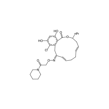 CCCC1C/C=C/CC/C=C/C(=N/OCC(=O)N2CCCCC2)Cc2c(Cl)c(O)cc(O)c2C(=O)O1